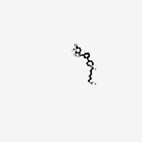 NCCCCCC(=O)N1CCC(c2cccc(NC3CCC(=O)NC3=O)c2)CC1